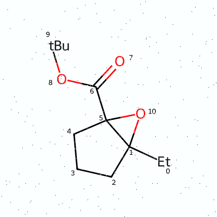 CCC12CCCC1(C(=O)OC(C)(C)C)O2